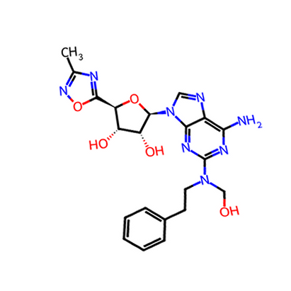 Cc1noc([C@H]2O[C@@H](n3cnc4c(N)nc(N(CO)CCc5ccccc5)nc43)[C@H](O)[C@@H]2O)n1